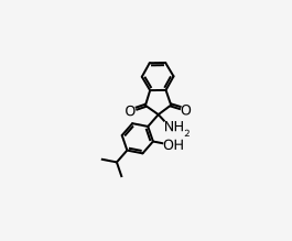 CC(C)c1ccc(C2(N)C(=O)c3ccccc3C2=O)c(O)c1